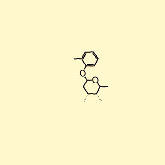 Cc1ccccc1O[C@@H]1C[C@@H](C)[C@@H](C)C(C)O1